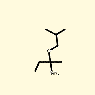 CCC(C)(N)OCC(C)C